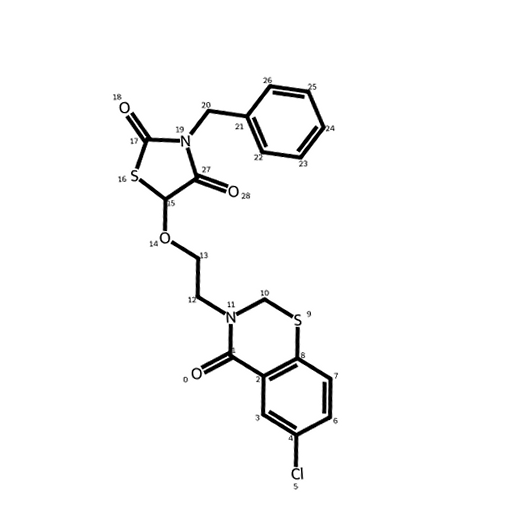 O=C1c2cc(Cl)ccc2SCN1CCOC1SC(=O)N(Cc2ccccc2)C1=O